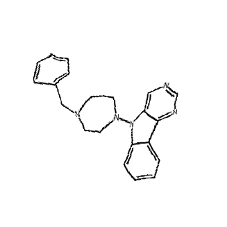 c1ccc(CN2CCN(n3c4ccccc4c4ncncc43)CC2)cc1